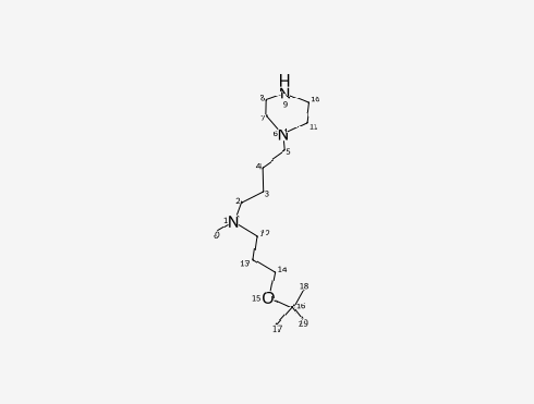 CN(CCCCN1CCNCC1)CCCOC(C)(C)C